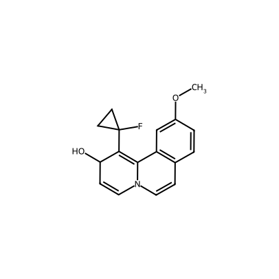 COc1ccc2c(c1)C1=C(C3(F)CC3)C(O)C=CN1C=C2